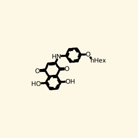 CCCCCCOc1ccc(NC2=CC(=O)c3c(O)ccc(O)c3C2=O)cc1